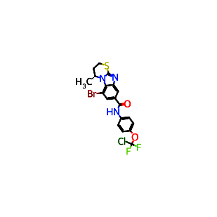 C[C@@H]1CCSc2nc3cc(C(=O)Nc4ccc(OC(F)(F)Cl)cc4)cc(Br)c3n21